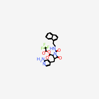 Nc1cc(CC2C(=O)N(C(=O)NCCc3cccc4ccccc34)C2C(=O)OC(=O)C(F)(F)F)ccn1